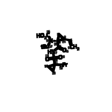 C=C[C@@H]1C[C@@]1(C(=O)NS(=O)(=O)C1(CCC)CC1)N(C(=O)O)C(C)(C)C